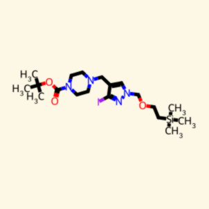 CC(C)(C)OC(=O)N1CCN(Cc2cn(COCC[Si](C)(C)C)nc2I)CC1